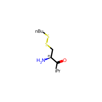 CCCCSSC[C@H](N)C(=O)C(C)C